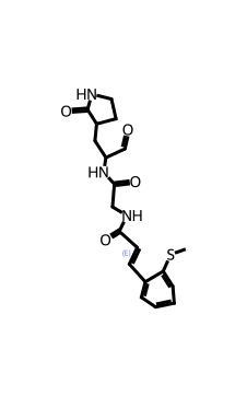 CSc1ccccc1/C=C/C(=O)NCC(=O)NC(C=O)CC1CCNC1=O